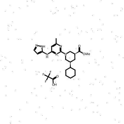 COC(=O)[C@H]1C[C@@H](C2CCCCC2)CN(c2nc(C)cc(Nc3ccn[nH]3)n2)C1.O=C(O)C(F)(F)F